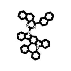 c1ccc2c(c1)-c1ccccc1-n1c3ccccc3c3cc4c(c-2c31)c1ccccc1n4-c1nc(-c2ccc3ccccc3c2)c2ccc3ccccc3c2n1